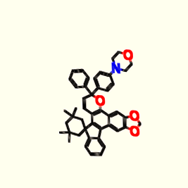 CC1(C)CC(C)(C)CC2(C1)c1ccccc1-c1c2c2c(c3cc4c(cc13)OCO4)OC(c1ccccc1)(c1ccc(N3CCOCC3)cc1)C=C2